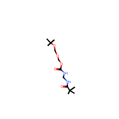 CC(C)(C)OCOCOC(=O)NCNC(=O)C(C)(C)C